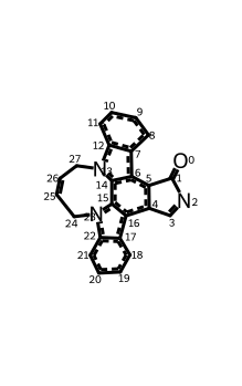 O=C1N=Cc2c1c1c3ccccc3n3c1c1c2c2ccccc2n1CC=CC3